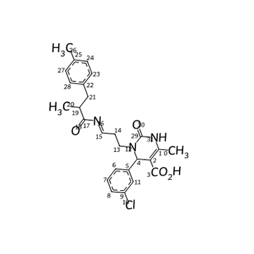 CC1=C(C(=O)O)C(c2cccc(Cl)c2)N(CCC=NC(=O)C(C)Cc2ccc(C)cc2)C(=O)N1